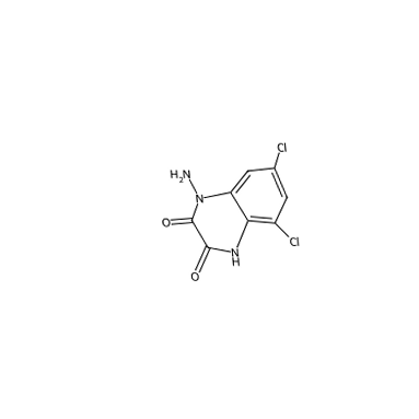 Nn1c(=O)c(=O)[nH]c2c(Cl)cc(Cl)cc21